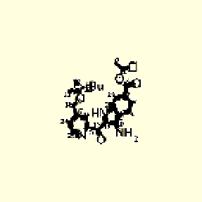 CC(Cl)OC(=O)c1ccc2c(N)c(C(=O)c3cc(CO[Si](C)(C)C(C)(C)C)ccn3)[nH]c2c1